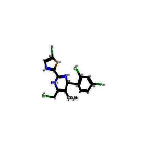 CCOC(=O)C1=C(CBr)NC(c2ncc(F)s2)=NC1c1ccc(F)cc1Cl